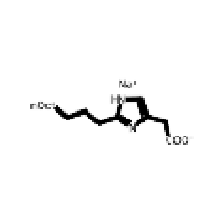 CCCCCCCCCCCc1nc(CC(=O)[O-])c[nH]1.[Na+]